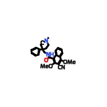 COc1c(C#N)c(OC)c2ccccc2c1C(=O)NCC1(c2ccccc2)CCN(C)CC1